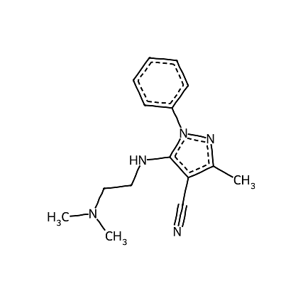 Cc1nn(-c2ccccc2)c(NCCN(C)C)c1C#N